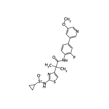 COc1cncc(-c2ccc(NC(=O)C(C)(C)c3csc(N[S+]([O-])C4CC4)n3)c(F)c2)c1